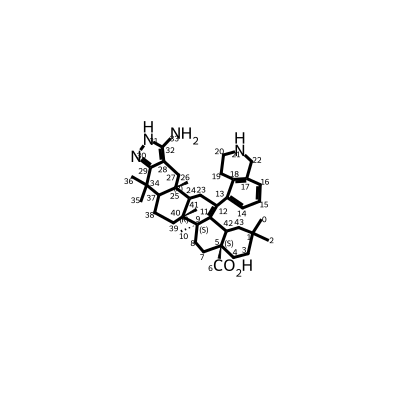 CC1(C)CC[C@]2(C(=O)O)CC[C@]3(C)C(=C(c4cccc5c4CCNC5)CC4[C@@]5(C)Cc6c(n[nH]c6N)C(C)(C)C5CC[C@]43C)C2C1